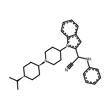 CC(C)[C@H]1CC[C@@H](N2CCC(n3c(C(C#N)Nc4ccccc4)cc4ccccc43)CC2)CC1